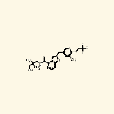 Cc1cc(Cn2cc3c(C(=O)NCC(C)(C)CO)nccc3n2)cnc1OCC(F)(F)F